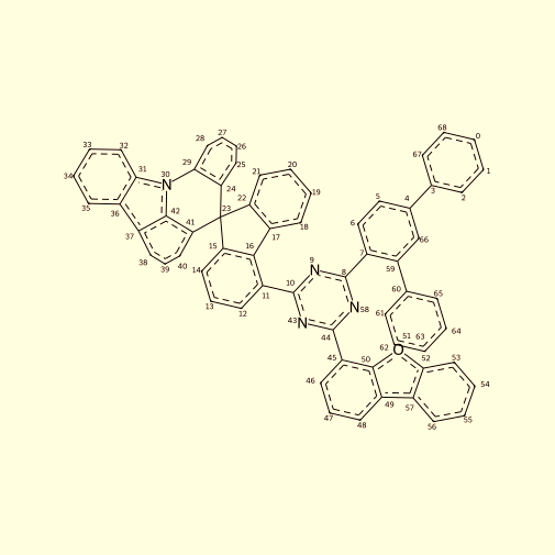 c1ccc(-c2ccc(-c3nc(-c4cccc5c4-c4ccccc4C54c5ccccc5-n5c6ccccc6c6cccc4c65)nc(-c4cccc5c4oc4ccccc45)n3)c(-c3ccccc3)c2)cc1